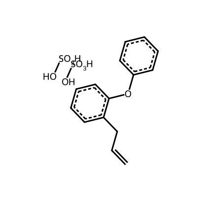 C=CCc1ccccc1Oc1ccccc1.O=S(=O)(O)O.O=S(=O)(O)O